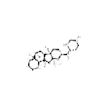 C[C@H]1CC[C@H]([C@@H](C)[C@@H]2CC[C@@H]3[C@@H](C[C@H]4[C@H]3CC[C@H]3CCCC[C@@]34C)[C@H]2C)NC1